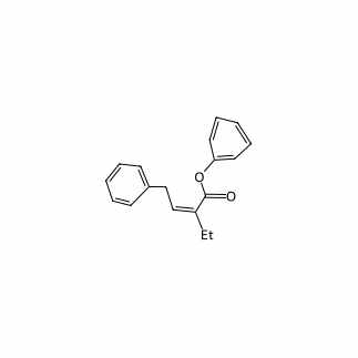 CCC(=CCc1ccccc1)C(=O)Oc1ccccc1